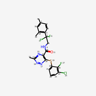 Cc1ccc(C(F)(F)CNC(=O)c2nc(C)nnc2Sc2cccc(Cl)c2F)c(C)c1